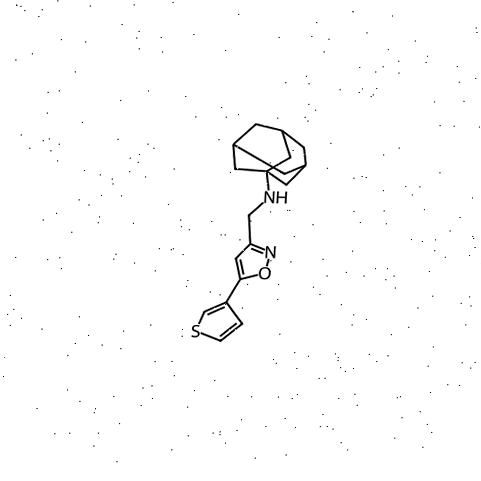 c1cc(-c2cc(CNC34CC5CC(CC(C5)C3)C4)no2)cs1